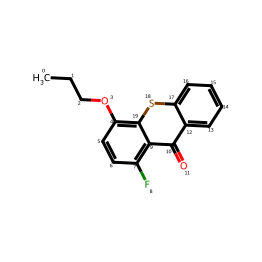 CCCOc1ccc(F)c2c(=O)c3ccccc3sc12